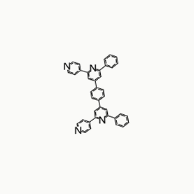 c1ccc(-c2cc(-c3ccc(-c4cc(-c5ccccc5)nc(-c5ccncc5)c4)cc3)cc(-c3ccncc3)n2)cc1